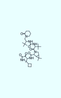 CC(C)(C)C(CN1CCCCC1=O)NC(=O)NC(C(=O)N1CC2C(C1C(=O)NC(CC1CCC1)C(=O)C(N)=O)C2(C)C)C(C)(C)C